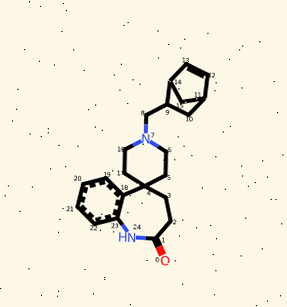 O=C1CCC2(CCN(CC3CC4C=CC3C4)CC2)c2ccccc2N1